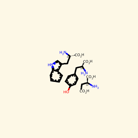 N[C@@H](CC(=O)O)C(=O)O.N[C@@H](Cc1c[nH]c2ccccc12)C(=O)O.N[C@@H](Cc1ccc(O)cc1)C(=O)O